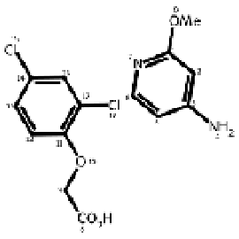 COc1cc(N)ccn1.O=C(O)COc1ccc(Cl)cc1Cl